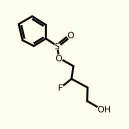 O=S(OCC(F)CCO)c1ccccc1